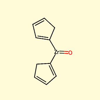 [O]=[Zr]([C]1=CC=CC1)[C]1=CC=CC1